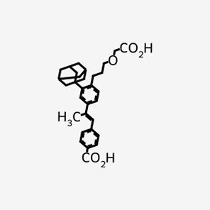 CC(=Cc1ccc(C(=O)O)cc1)c1ccc(CCCOCC(=O)O)c(C23CC4CC(CC(C4)C2)C3)c1